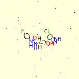 O=C(Nc1ccc(F)cc1)NC1[C@H]2CC(O)(c3cc(Cl)cc4[nH]ncc34)C[C@@H]12